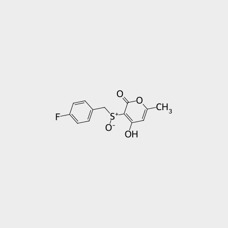 Cc1cc(O)c([S+]([O-])Cc2ccc(F)cc2)c(=O)o1